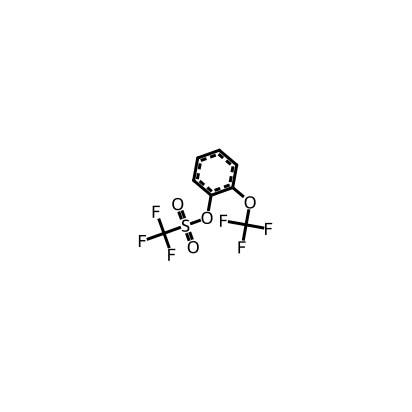 O=S(=O)(Oc1ccccc1OC(F)(F)F)C(F)(F)F